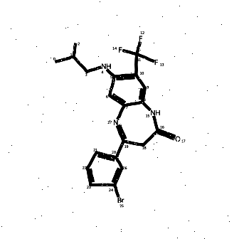 CC(C)CNc1cc2c(cc1C(F)(F)F)NC(=O)CC(c1cccc(Br)c1)=N2